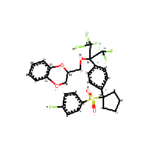 O=S(=O)(c1ccc(F)cc1)C1(c2ccc(C(OCC3COc4ccccc4O3)(C(F)(F)F)C(F)(F)F)cc2)CCCC1